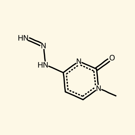 Cn1ccc(NN=N)nc1=O